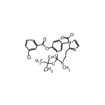 CN(CCC1=NC=C[N+]1(C(=O)[O-])c1ccc(OC(=O)c2cccc(Cl)c2)cc1)C(=O)OC(C)(C)C